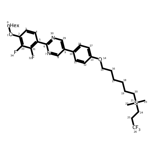 CCCCCCOc1ccc(-c2ncc(-c3ccc(OCCCCCC[Si](C)(C)CCC(F)(F)F)cc3)cn2)c(F)c1F